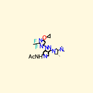 CC(=O)Nc1cc2c(cn1)c(N1CC(N(C)C)[C@H](C)C1)nn2-c1cc(OC2CC2)nc(C(C)(F)F)n1